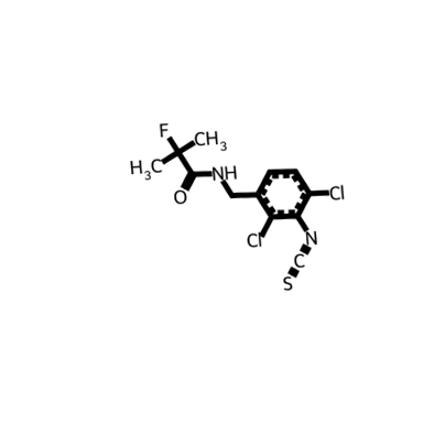 CC(C)(F)C(=O)NCc1ccc(Cl)c(N=C=S)c1Cl